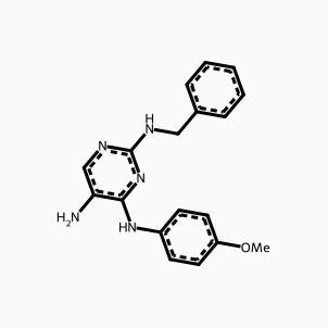 COc1ccc(Nc2nc(NCc3ccccc3)ncc2N)cc1